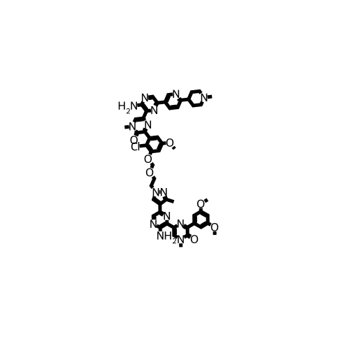 COc1cc(OC)cc(-c2nc(-c3nc(-c4cn(CCOCOc5cc(OC)cc(-c6nc(-c7nc(-c8ccc(C9CCN(C)CC9)nc8)cnc7N)cn(C)c6=O)c5Cl)nc4C)cnc3N)cn(C)c2=O)c1